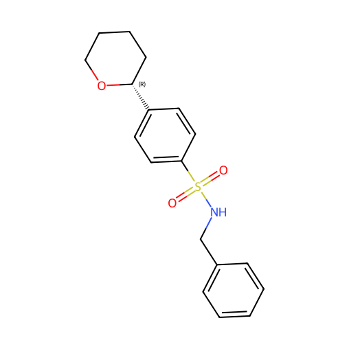 O=S(=O)(NCc1ccccc1)c1ccc([C@H]2CCCCO2)cc1